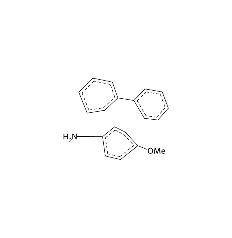 COc1ccc(N)cc1.c1ccc(-c2ccccc2)cc1